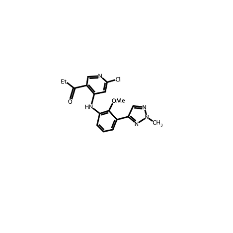 CCC(=O)c1cnc(Cl)cc1Nc1cccc(-c2cnn(C)n2)c1OC